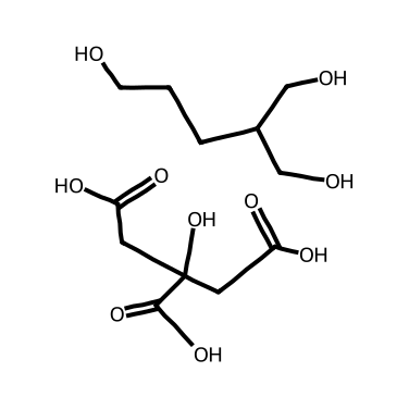 O=C(O)CC(O)(CC(=O)O)C(=O)O.OCCCC(CO)CO